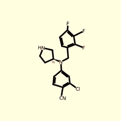 N#Cc1ccc(N(Cc2ccc(F)c(F)c2F)[C@H]2CCNC2)cc1Cl